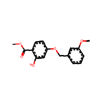 COC(=O)c1ccc(OCc2cccc(OC)c2)cc1O